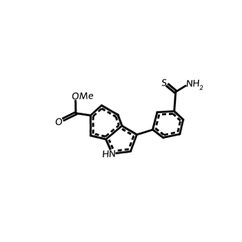 COC(=O)c1ccc2c(-c3cccc(C(N)=S)c3)c[nH]c2c1